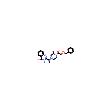 CC(c1nc2ccccc2c(=O)n1C)N1CCN(C(=O)COCc2ccccc2)C(C)C1